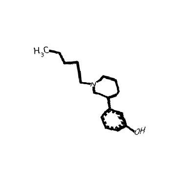 CCCCCN1CCCC(c2cccc(O)c2)C1